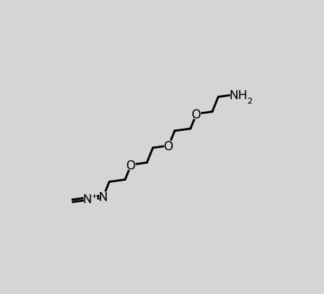 C=[N+]=NCCOCCOCCOCCN